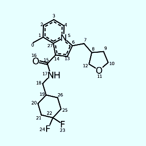 Cc1cccn2c(CC3CCOC3)cc(C(=O)NCC3CCC(F)(F)CC3)c12